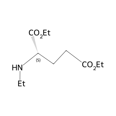 CCN[C@@H](CCC(=O)OCC)C(=O)OCC